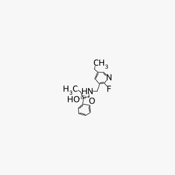 CCc1cnc(F)c(CNC(=O)[C@](O)(CC)c2ccccc2)c1